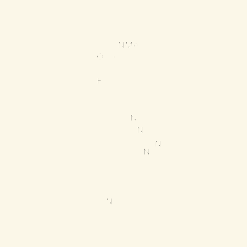 CNC(=O)c1ccc(-c2ccc3nnc(Cc4cc5cccnc5cc4C)n3n2)cc1F